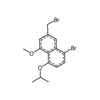 COc1cc(CBr)cc2c(Br)ccc(OC(C)C)c12